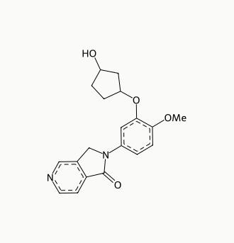 COc1ccc(N2Cc3cnccc3C2=O)cc1OC1CCC(O)C1